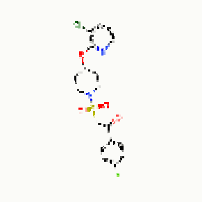 O=C(CS(=O)(=O)N1CCC(Oc2ncccc2Cl)CC1)c1ccc(F)cc1